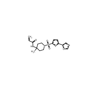 C=CC(=O)NC1(C)CCN(S(=O)(=O)c2ccc(-c3cnco3)s2)CC1